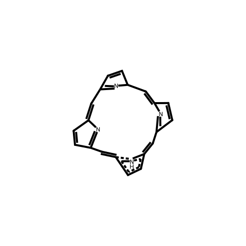 C1=CC2=NC1=CC1=NC(C=C1)C=C1C=CC(=N1)C=c1ccc([nH]1)=C2